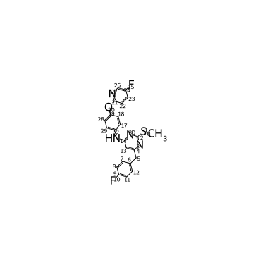 CSc1nc(Cc2ccc(F)cc2)cc(Nc2ccc(Oc3ccc(F)cn3)cc2)n1